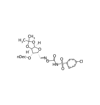 CCCCCCCCCCO[C@@H]1[C@H]2OC(C)(C)O[C@H]2O[C@@H]1C=NOC(=O)NS(=O)(=O)c1ccc(Cl)cc1